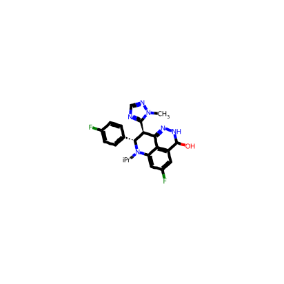 CC(C)N1c2cc(F)cc3c2C(=NNC3O)[C@H](c2ncnn2C)[C@H]1c1ccc(F)cc1